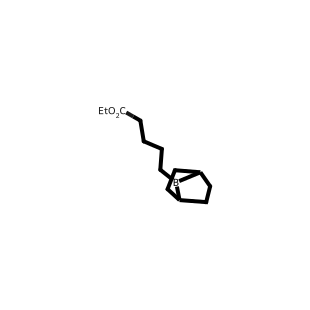 CCOC(=O)CCCCB1C2CCC1CC2